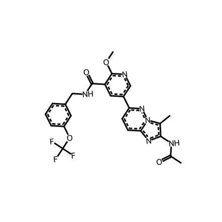 COc1ncc(-c2ccc3nc(NC(C)=O)c(C)n3n2)cc1C(=O)NCc1cccc(OC(F)(F)F)c1